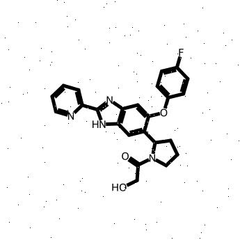 O=C(CO)N1CCCC1c1cc2[nH]c(-c3ccccn3)nc2cc1Oc1ccc(F)cc1